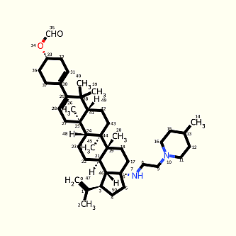 C=C(C)[C@@H]1CC[C@]2(NCCN3CCC(C)CC3)CC[C@]3(C)[C@H](CC[C@@H]4[C@@]5(C)CC=C(C6=CC[C@@H](OC=O)CC6)C(C)(C)[C@@H]5CC[C@]43C)[C@@H]12